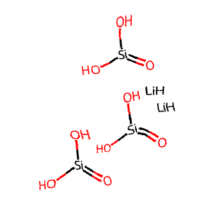 O=[Si](O)O.O=[Si](O)O.O=[Si](O)O.[LiH].[LiH]